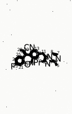 CCCc1nc2c(C)nccn2c1Cc1ccc2c(c1)COc1cc(F)ccc1C2=C(C)C#N